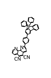 N#Cc1c(C#N)c2ccc(-c3ccc(-c4ccc5c(c4)-c4ccccc4[Si]5(c4ccccc4)c4ccccc4)cc3)nc2c2ncccc12